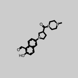 CN1CCN(C(=O)C2CCN(c3ccc4c(C=O)c(O)ccc4c3)C2)CC1